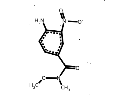 CON(C)C(=O)c1ccc(N)c([N+](=O)[O-])c1